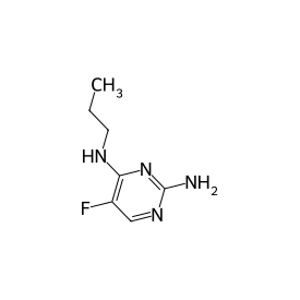 CCCNc1nc(N)ncc1F